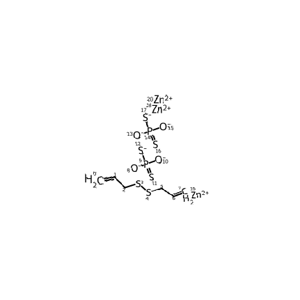 C=CCSSCC=C.[O-]P([O-])(=S)[S-].[O-]P([O-])(=S)[S-].[Zn+2].[Zn+2].[Zn+2]